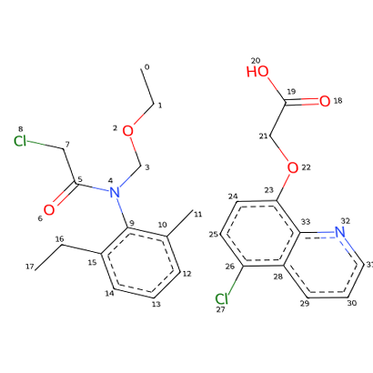 CCOCN(C(=O)CCl)c1c(C)cccc1CC.O=C(O)COc1ccc(Cl)c2cccnc12